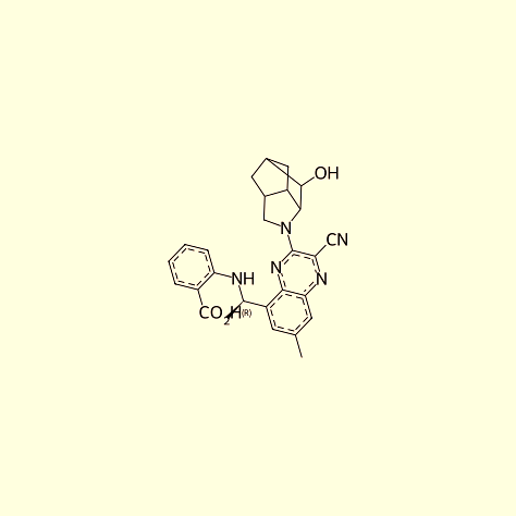 Cc1cc([C@@H](C)Nc2ccccc2C(=O)O)c2nc(N3CC4CC5CC4C3C5O)c(C#N)nc2c1